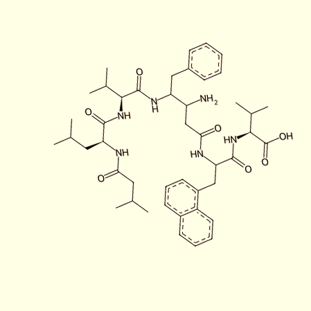 CC(C)CC(=O)N[C@@H](CC(C)C)C(=O)N[C@H](C(=O)NC(Cc1ccccc1)C(N)CC(=O)NC(Cc1cccc2ccccc12)C(=O)N[C@H](C(=O)O)C(C)C)C(C)C